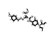 C=CC(=O)N(C=CC)c1ccc(NC(=O)[C@@H]2[C@@H](COCc3ccc(OC)cc3)[C@@H]2C(=O)OC)c(F)c1